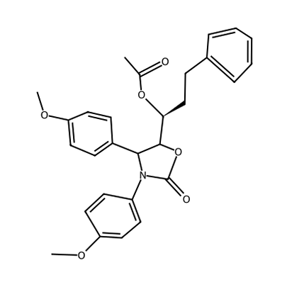 COc1ccc(C2C([C@H](CCc3ccccc3)OC(C)=O)OC(=O)N2c2ccc(OC)cc2)cc1